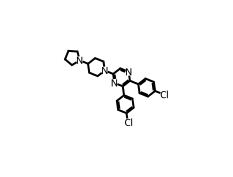 Clc1ccc(-c2ncc(N3CCC(N4CCCC4)CC3)nc2-c2ccc(Cl)cc2)cc1